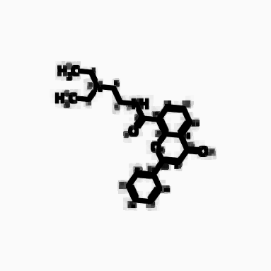 CCN(CC)CCNC(=O)c1cccc2c(=O)cc(-c3ccccc3)oc12